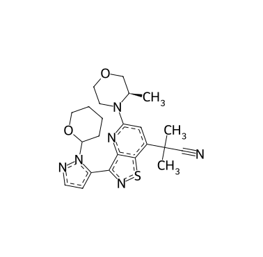 C[C@@H]1COCCN1c1cc(C(C)(C)C#N)c2snc(-c3ccnn3C3CCCCO3)c2n1